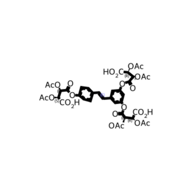 CC(=O)O[C@H](C(=O)O)[C@@H](OC(C)=O)C(=O)Oc1ccc(/C=C/c2cc(OC(=O)[C@H](OC(C)=O)[C@@H](OC(C)=O)C(=O)O)cc(OC(=O)[C@H](OC(C)=O)[C@@H](OC(C)=O)C(=O)O)c2)cc1